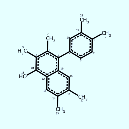 Cc1ccc(-c2c(C)c(C)c(O)c3cc(C)c(C)cc23)cc1C